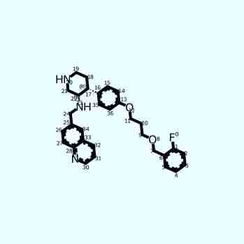 Fc1ccccc1COCCCOc1ccc([C@H]2CCNC[C@H]2NCc2ccc3ncccc3c2)cc1